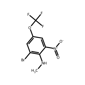 CNc1c(Br)cc(OC(F)(F)F)cc1[N+](=O)[O-]